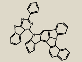 c1ccc(-c2nc(-n3c4ccccc4c4c5c6ccc7ccccc7c6n6c7ccccc7c(cc43)c56)c3c(n2)sc2ccccc23)cc1